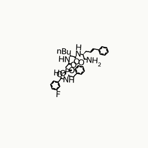 CCCCC(NC(=O)CP(=O)(O)C(Cc1ccccc1)NC(=O)c1cccc(F)c1)C(=O)N[C@@H](C/C=C/c1ccccc1)C(N)=O